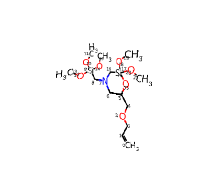 C=CCOCC1CN(C[Si](OC)(OC)OC)C[Si](OC)(OC)O1